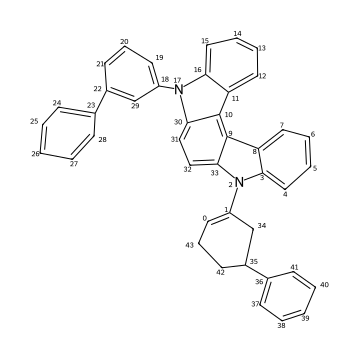 C1=C(n2c3ccccc3c3c4c5ccccc5n(-c5cccc(-c6ccccc6)c5)c4ccc32)CC(c2ccccc2)CC1